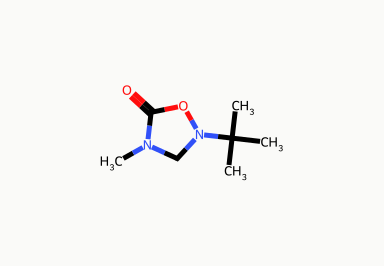 CN1CN(C(C)(C)C)OC1=O